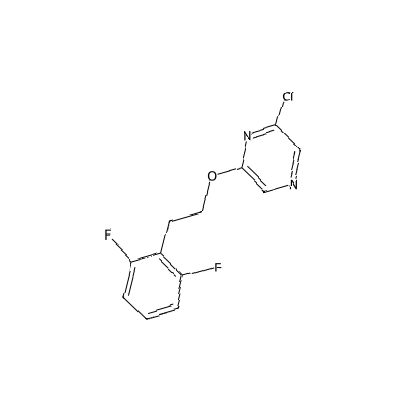 Fc1cccc(F)c1CCOc1cncc(Cl)n1